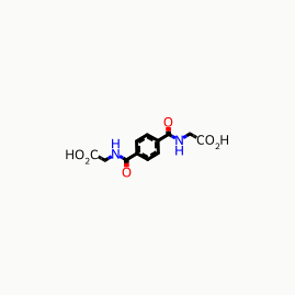 O=C(O)CNC(=O)c1ccc(C(=O)NCC(=O)O)cc1